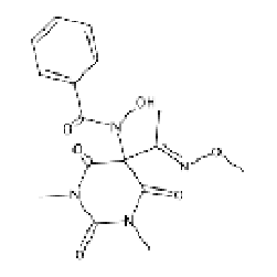 CON=C(C)C1(N(O)C(=O)c2ccccc2)C(=O)N(C)C(=O)N(C)C1=O